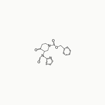 O=CN(c1nccs1)C1CN(C(=O)OCc2ccccc2)CCC1=O